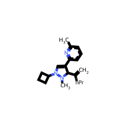 C=C(CCC)C1C(c2cccc(C)n2)=CN(C2CCC2)N1C